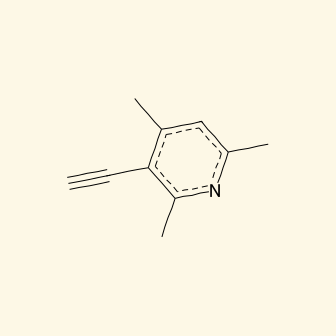 C#Cc1c(C)cc(C)nc1C